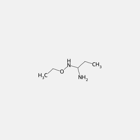 CCONC(N)CC